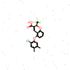 Cc1cc(Cl)c(Oc2cccc3c2C=C(C(=O)O)C(C(F)(F)F)O3)cc1C